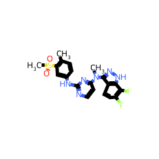 Cc1ccc(Nc2nccc(N(C)c3n[nH]c4c(F)c(F)ccc34)n2)cc1S(C)(=O)=O